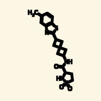 Cc1ccc2sc(C3CC4(CC(NC(=O)C5CCS(=O)(=O)N5)C4)C3)nc2c1